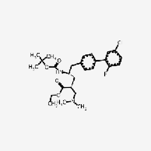 CCOC(=O)[C@@H](C[C@@H](Cc1ccc(-c2cc(Cl)ccc2F)cc1)NC(=O)OC(C)(C)C)CN(C)C